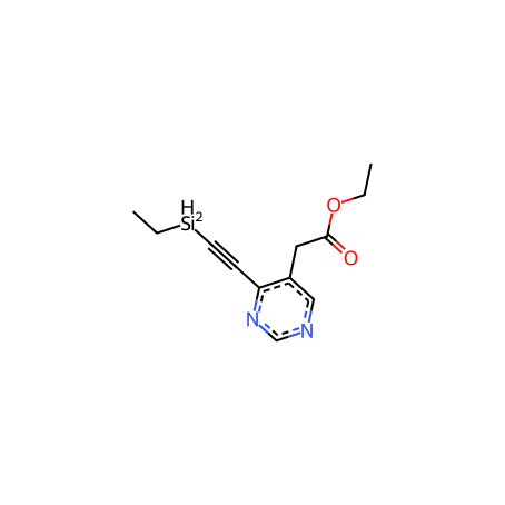 CCOC(=O)Cc1cncnc1C#C[SiH2]CC